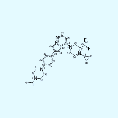 CCN1CCN(c2ccc(-c3cc4c(N5CCN(C6CC6)C(C(F)F)C5)ccnn4c3)cc2)CC1